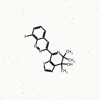 CC1(C)N=C(c2cc3cccc(F)c3nn2)c2sccc2C1(C)O